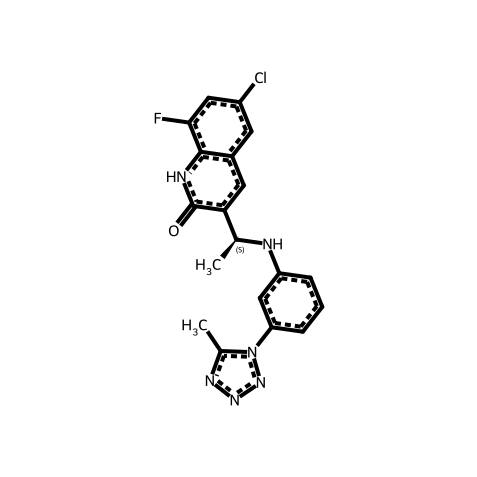 Cc1nnnn1-c1cccc(N[C@@H](C)c2cc3cc(Cl)cc(F)c3[nH]c2=O)c1